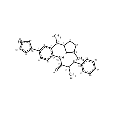 CN1CCC(N(C)c2cc(-c3cn[nH]c3)ccc2NC(=O)N(C)Cc2ccccc2)C1